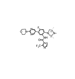 C[C@@H]1CN(c2cc(F)c(-c3cnc(N4CCOCC4)nc3)cc2NC(=O)c2scnc2C(F)(F)F)C[C@H](C)N1C